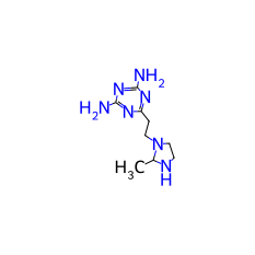 CC1NCCN1CCc1nc(N)nc(N)n1